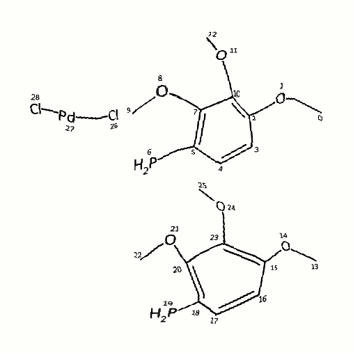 COc1ccc(P)c(OC)c1OC.COc1ccc(P)c(OC)c1OC.[Cl][Pd][Cl]